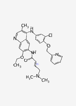 CCOc1cc2ncc(C)c(Nc3ccc(OCc4ccccn4)c(Cl)c3)c2cc1NC(=O)/C=C/CN(C)C